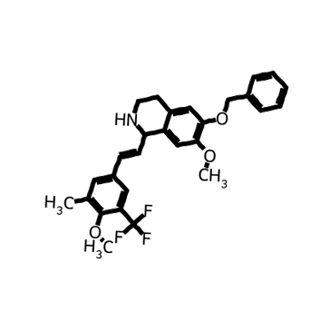 COc1cc2c(cc1OCc1ccccc1)CCNC2C=Cc1cc(C)c(OC)c(C(F)(F)F)c1